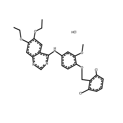 CCOc1cc2ncnc(Nc3ccc(OCc4c(Cl)cccc4Cl)c(OC)c3)c2cc1OCC.Cl